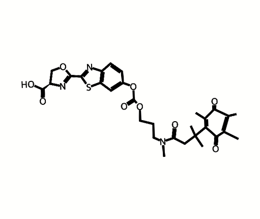 CC1=C(C)C(=O)C(C(C)(C)CC(=O)N(C)CCCOC(=O)Oc2ccc3nc(C4=N[C@@H](C(=O)O)CO4)sc3c2)=C(C)C1=O